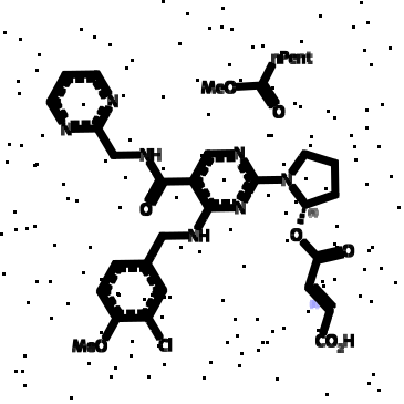 CCCCCC(=O)OC.COc1ccc(CNc2nc(N3CCC[C@@H]3OC(=O)/C=C/C(=O)O)ncc2C(=O)NCc2ncccn2)cc1Cl